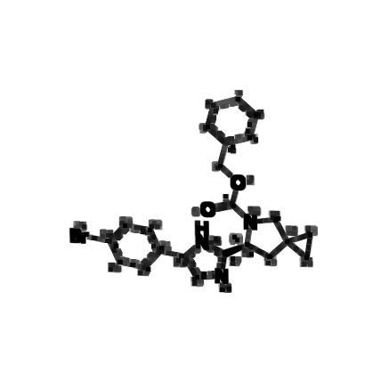 O=C(OCc1ccccc1)N1CC2(CC2)C[C@H]1c1ncc(-c2ccc(Br)cc2)[nH]1